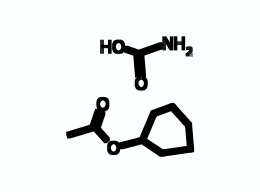 CC(=O)OC1CCCCC1.NC(=O)O